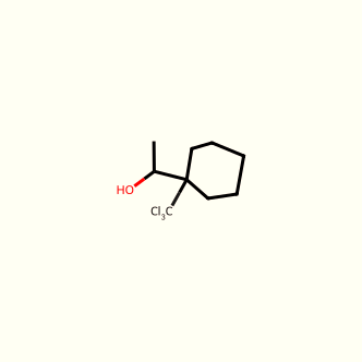 CC(O)C1(C(Cl)(Cl)Cl)CCCCC1